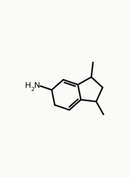 CC1CC(C)C2=CC(N)CC=C21